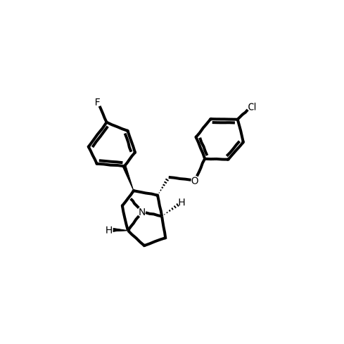 CN1[C@@H]2CC[C@@H]1[C@@H](COc1ccc(Cl)cc1)[C@H](c1ccc(F)cc1)C2